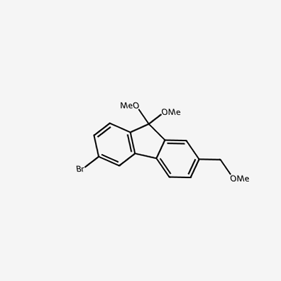 COCc1ccc2c(c1)C(OC)(OC)c1ccc(Br)cc1-2